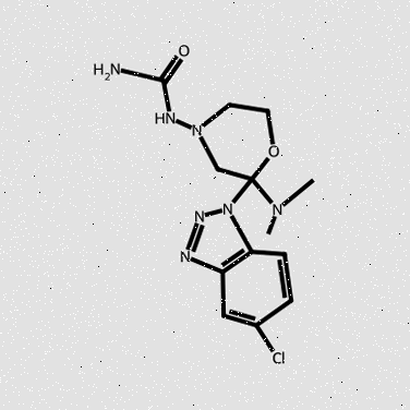 CN(C)C1(n2nnc3cc(Cl)ccc32)CN(NC(N)=O)CCO1